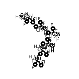 Fc1ccc([C@@]2(Cn3nc[nH]c3=S)O[C@@H]2c2ccccc2Cl)c(F)c1.Fc1ccc([C@@]2(Cn3nc[nH]c3=S)O[C@@H]2c2ccccc2Cl)c(F)c1.Fc1ccc([C@@]2(Cn3nc[nH]c3=S)O[C@@H]2c2ccccc2Cl)c(F)c1.NNCC1(c2ccc(F)cc2F)OC1c1ccccc1Cl.NNCC1(c2ccc(F)cc2F)OC1c1ccccc1Cl.NNCC1(c2ccc(F)cc2F)OC1c1ccccc1Cl.O=P(O)(O)O